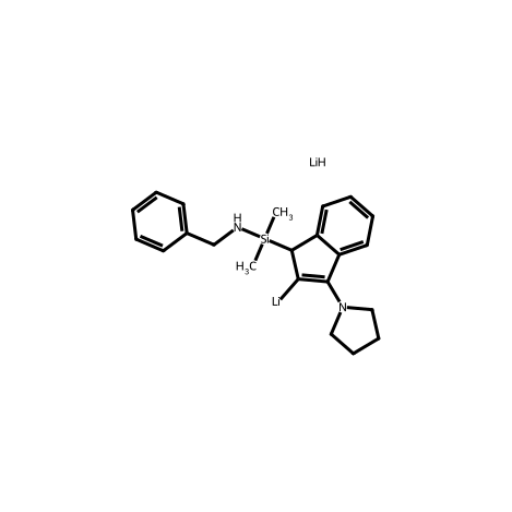 [LiH].[Li][C]1=C(N2CCCC2)c2ccccc2C1[Si](C)(C)NCc1ccccc1